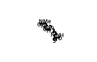 CNC(=O)c1ccc2c(n1)OC[C@H]1CN(Cc3cnc4c(c3)[nH]c(=O)c3cscc34)CCN21